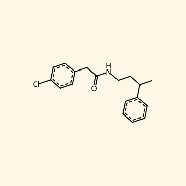 CC(CCNC(=O)Cc1ccc(Cl)cc1)c1ccccc1